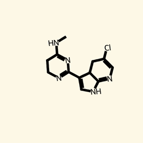 CNC1=NC(C2=CNC3=NC=C(Cl)CC23)=NCC1